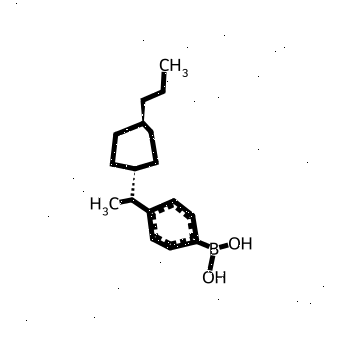 CCC[C@H]1CC[C@H](C(C)c2ccc(B(O)O)cc2)CC1